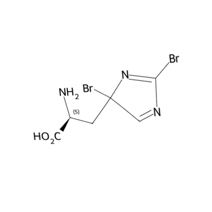 N[C@@H](CC1(Br)C=NC(Br)=N1)C(=O)O